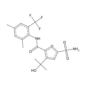 Cc1cc(C)c(NC(=O)c2oc(S(N)(=O)=O)cc2C(C)(C)O)c(C(F)(F)F)c1